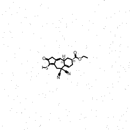 CCOC(=O)[C@H]1CC=C2[C@H](C=C3CC(=O)C(SI)=C3CC2(C#N)C#N)C1